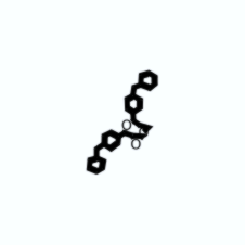 c1ccc(Cc2ccc(C(OC(c3ccc(Cc4ccccc4)cc3)C3CO3)C3CO3)cc2)cc1